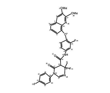 COc1cc2nccc(Oc3ccc(NC(=O)C4C(=O)N(c5ccc(F)cc5)C=NC4(C)F)cc3F)c2nc1OC